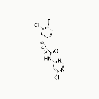 O=C(Nc1cc(Cl)ncn1)[C@H]1C[C@@H]1c1ccc(F)c(Cl)c1